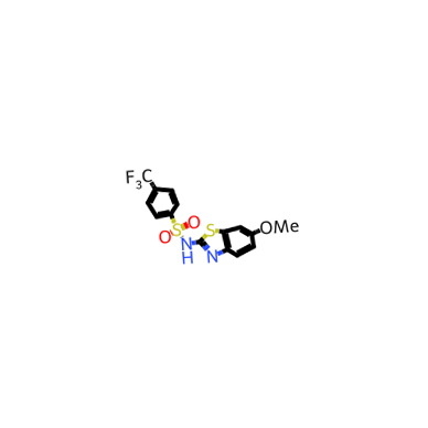 COc1ccc2nc(NS(=O)(=O)c3ccc(C(F)(F)F)cc3)sc2c1